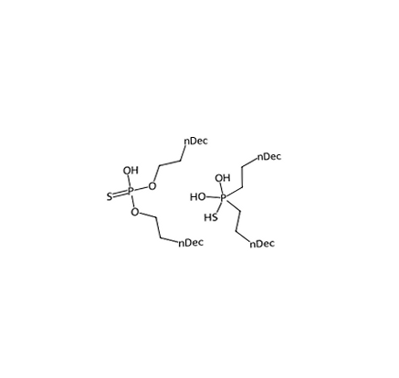 CCCCCCCCCCCCOP(O)(=S)OCCCCCCCCCCCC.CCCCCCCCCCCCP(O)(O)(S)CCCCCCCCCCCC